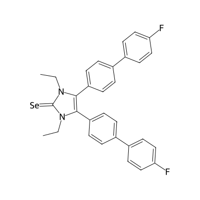 CCn1c(-c2ccc(-c3ccc(F)cc3)cc2)c(-c2ccc(-c3ccc(F)cc3)cc2)n(CC)c1=[Se]